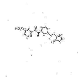 CCn1cnnc1CC(C)c1cccc(NC(=O)c2cc(C(=O)O)ccn2)c1